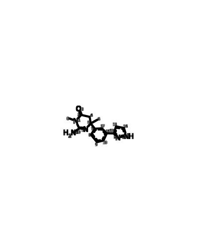 CN1C(=O)CC(C)(c2cccc(-c3cc[nH]n3)c2)N=C1N